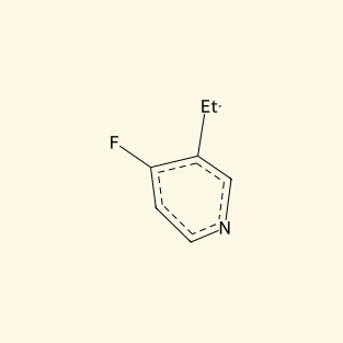 C[CH]c1cnccc1F